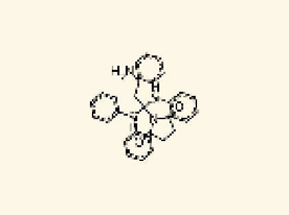 NCCC(N1C(=O)CCC1=O)([SiH](c1ccccc1)c1ccccc1)[SiH](c1ccccc1)c1ccccc1